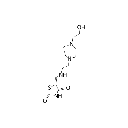 O=C1NC(=O)/C(=C\NCCN2CCN(CCO)CC2)S1